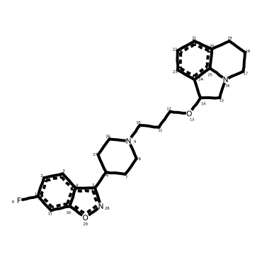 Fc1ccc2c(C3CCN(CCCOC4CN5CCCc6cccc4c65)CC3)noc2c1